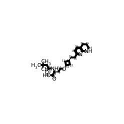 CC(C)(C)CC(=O)N[C@@H](CCO[C@H]1C[C@@H](CCc2ccc3c(n2)NCCC3)C1)C(=O)O